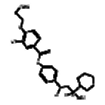 CCCCCCCCCCCCOc1ccc(C(=O)Oc2ccc(C(CC)C[C@@](F)(C(=O)O)C3CCCCC3)cc2)cc1C#N